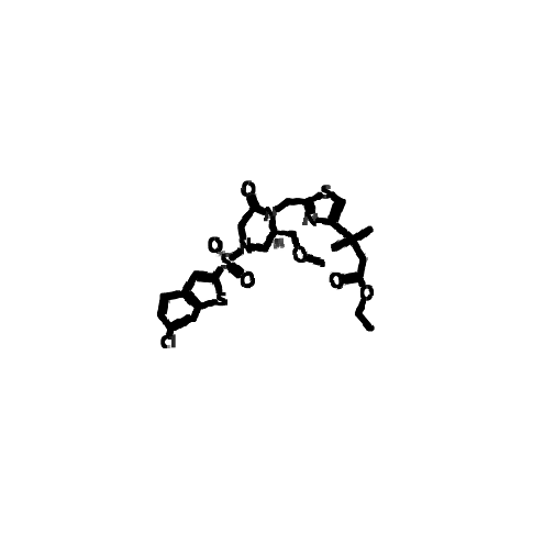 CCOC(=O)CC(C)(C)c1csc(CN2C(=O)CN(S(=O)(=O)c3cc4ccc(Cl)cc4s3)C[C@@H]2COC)n1